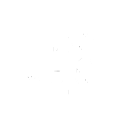 COc1ccc(-c2cnc3ccc(N(CC(=O)O)C(=O)OC(C)(C)C)cn23)c(Cl)c1